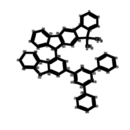 CC1(C)c2ccccc2-c2cc3c4ccccc4n(-c4cc(-c5nc(-c6ccccc6)nc(-c6ccccc6)n5)cc5oc6c(c45)=CCCC=6)c3cc21